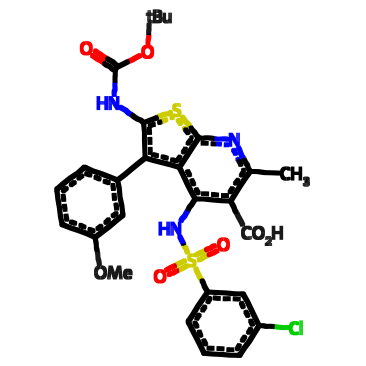 COc1cccc(-c2c(NC(=O)OC(C)(C)C)sc3nc(C)c(C(=O)O)c(NS(=O)(=O)c4cccc(Cl)c4)c23)c1